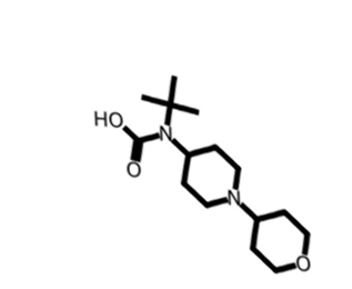 CC(C)(C)N(C(=O)O)C1CCN(C2CCOCC2)CC1